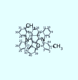 Cc1cccc(N(c2ccccc2)c2c3ccccc3c(N(c3ccccc3)c3cccc(C)c3)c3c2oc2ccccc23)c1